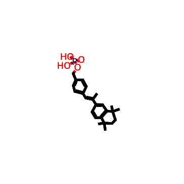 CC(=Cc1ccc(COP(=O)(O)O)cc1)c1ccc2c(c1)C(C)(C)CCC2(C)C